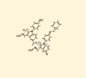 Cc1c(C=NO)c2cc(F)ccc2n1-c1ccc(O)cc1.Cc1c(C=NO)c2cc(F)ccc2n1-c1ccc(OCc2ccccc2)cc1